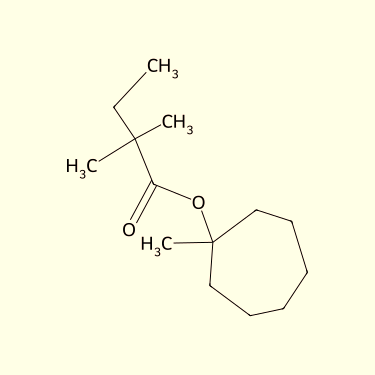 CCC(C)(C)C(=O)OC1(C)CCCCCC1